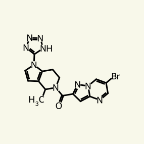 CC1c2ccn(-c3nnn[nH]3)c2CCN1C(=O)c1cc2ncc(Br)cn2n1